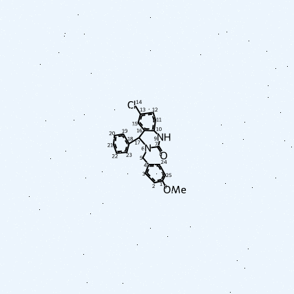 COc1ccc(CN2C(=O)Nc3ccc(Cl)cc3C2c2ccccc2)cc1